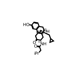 CC(C)CC(=O)N[C@H]1C[C@@]2(O)[C@H]3Cc4ccc(O)cc4C2(CCN3CC2CC2)CC1=O